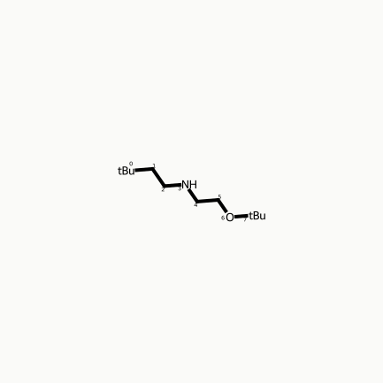 CC(C)(C)CCNCCOC(C)(C)C